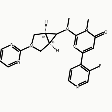 CN(c1nc(-c2ccncc2F)cc(=O)n1C)C1[C@H]2CN(c3ncccn3)C[C@@H]12